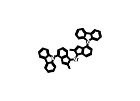 CC1=Cc2c(cccc2-n2c3ccccc3c3ccccc32)[CH]1[Zr][CH]1C(C)=Cc2c1cccc2-n1c2ccccc2c2ccccc21